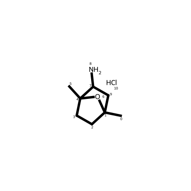 CC12CCC(C)(O1)C(N)C2.Cl